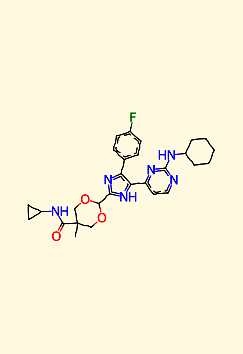 CC1(C(=O)NC2CC2)COC(c2nc(-c3ccc(F)cc3)c(-c3ccnc(NC4CCCCC4)n3)[nH]2)OC1